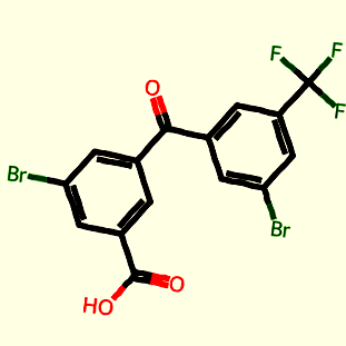 O=C(O)c1cc(Br)cc(C(=O)c2cc(Br)cc(C(F)(F)F)c2)c1